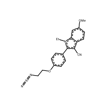 CCn1c(-c2ccc(OCCN=[N+]=[N-])cc2)c(C#N)c2ccc(OC)cc21